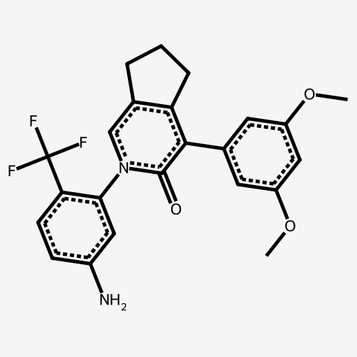 COc1cc(OC)cc(-c2c3c(cn(-c4cc(N)ccc4C(F)(F)F)c2=O)CCC3)c1